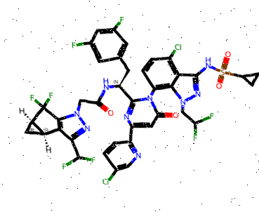 O=C(Cn1nc(C(F)F)c2c1C(F)(F)[C@@H]1C[C@H]21)N[C@@H](Cc1cc(F)cc(F)c1)c1nc(-c2ccc(Cl)cn2)cc(=O)n1-c1ccc(Cl)c2c(NS(=O)(=O)C3CC3)nn(CC(F)F)c12